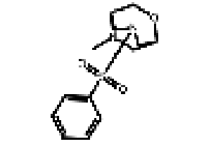 CN1CC2CN(S(=O)(=O)c3ccccc3)CC1CO2